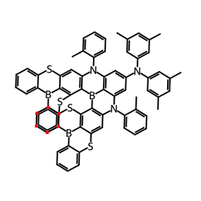 Cc1cc(C)cc(N(c2cc(C)cc(C)c2)c2cc3c4c(c2)N(c2ccccc2C)c2cc5c6c(c2B4c2c(cc4c7c2Sc2ccccc2B7c2ccccc2S4)N3c2ccccc2C)Sc2ccccc2B6c2ccccc2S5)c1